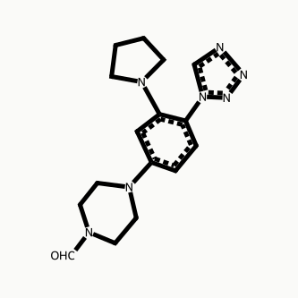 O=CN1CCN(c2ccc(-n3cnnn3)c(N3CCCC3)c2)CC1